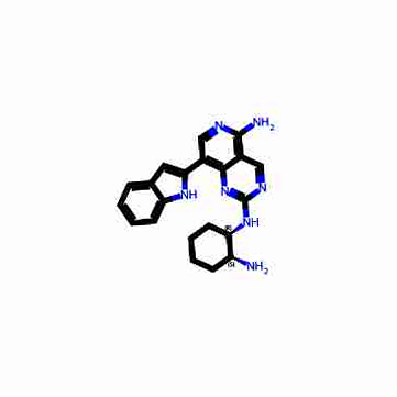 Nc1ncc(-c2cc3ccccc3[nH]2)c2nc(N[C@@H]3CCCC[C@@H]3N)ncc12